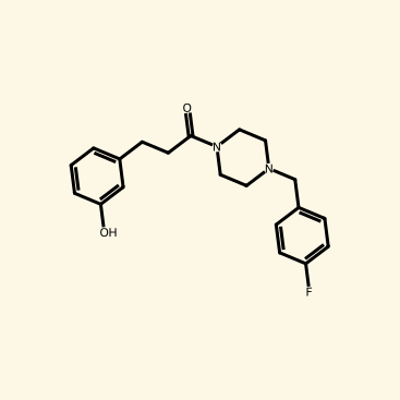 O=C(CCc1cccc(O)c1)N1CCN(Cc2ccc(F)cc2)CC1